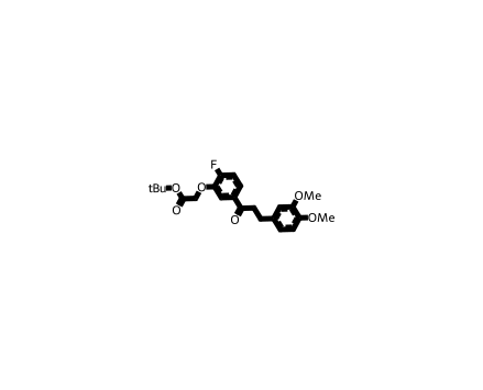 COc1ccc(CCC(=O)c2ccc(F)c(OCC(=O)OC(C)(C)C)c2)cc1OC